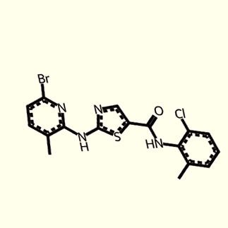 Cc1ccc(Br)nc1Nc1ncc(C(=O)Nc2c(C)cccc2Cl)s1